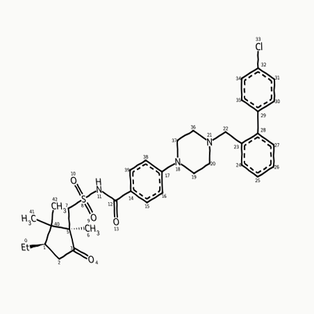 CC[C@@H]1CC(=O)[C@](C)(CS(=O)(=O)NC(=O)c2ccc(N3CCN(Cc4ccccc4-c4ccc(Cl)cc4)CC3)cc2)C1(C)C